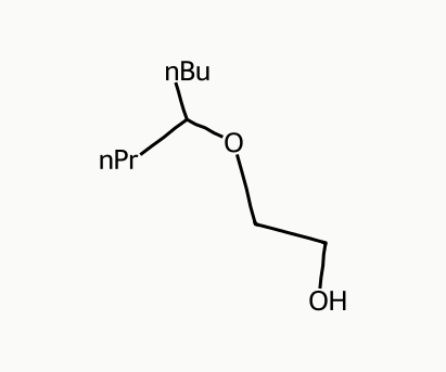 CCCCC(CCC)OCCO